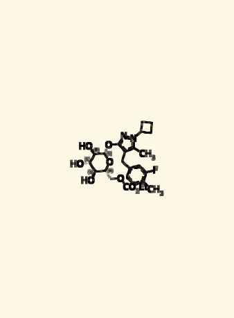 CCOC(=O)OC[C@H]1O[C@@H](Oc2nn(C3CCC3)c(C)c2Cc2ccc(C)c(F)c2)[C@H](O)[C@@H](O)[C@@H]1O